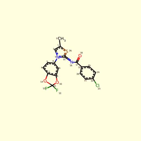 Cc1cn(-c2ccc3c(c2)OC(F)(F)O3)c(=NC(=O)c2ccc(Cl)cc2)s1